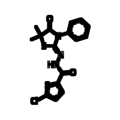 CC1(C)SC(=NNC(=O)c2ccc(Cl)s2)N(c2ccccc2)C1=O